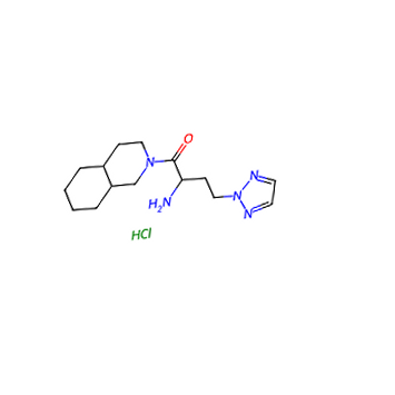 Cl.NC(CCn1nccn1)C(=O)N1CCC2CCCCC2C1